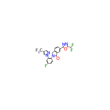 O=C1c2cc(-c3nnc(C(F)F)o3)ccc2CN1c1ccc(F)cc1-n1cc(C(F)(F)F)cn1